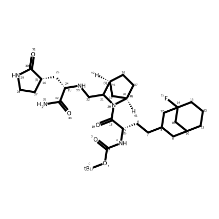 CC(C)(C)OC(=O)N[C@@H](CCC1CC2CCCC(F)(C2)C1)C(=O)N1C(CN[C@@H](C[C@@H]2CCNC2=O)C(N)=O)[C@H]2CC[C@@H]1C2